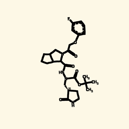 CC(C)(C)OC(=O)N(C[C@@H]1CCNC1=O)NC(=O)C1C2CCCC2CN1C(=O)COc1cccc(F)c1